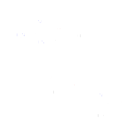 CC(=O)N1CCC(c2cc(C)c(C(=O)NC(=N)N)cc2S(C)(=O)=O)CC1